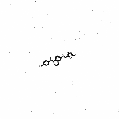 Cc1nnc(COc2ccc3c(Nc4ccc(Cl)nc4)nccc3c2)o1